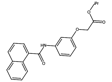 CC(C)OC(=O)COc1cccc(NC(=O)c2cccc3ccccc23)c1